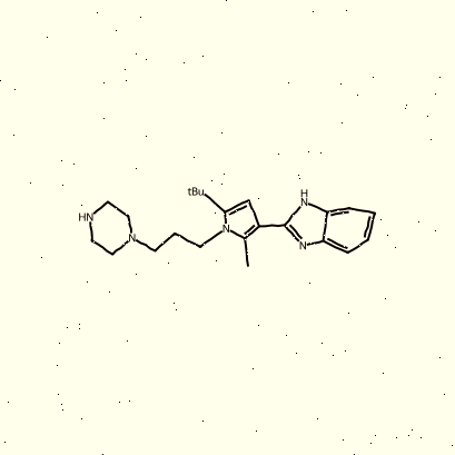 Cc1c(-c2nc3ccccc3[nH]2)cc(C(C)(C)C)n1CCCN1CCNCC1